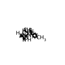 Cc1ccc([C@H](N[C@@H](CC(C)C)C(=O)NC2(C#N)CC2)C(F)(F)F)cc1